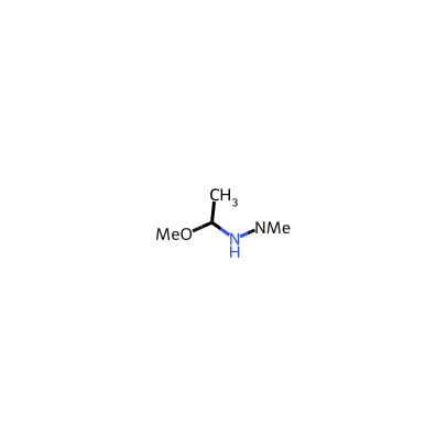 CNNC(C)OC